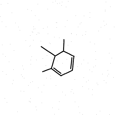 C[C]1C=CC=C(C)C1C